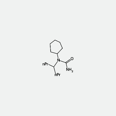 CCCC(CCC)N(C(N)=O)C1CCCCC1